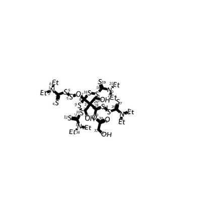 CCN(CC)C(=S)SSOC(SSC(=S)N(CC)CC)(SSC(=S)N(CC)CC)C(CO)(CO)C(OC(=O)CO)SSC(=S)N(CC)CC